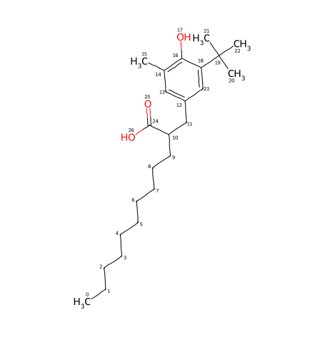 CCCCCCCCCCC(Cc1cc(C)c(O)c(C(C)(C)C)c1)C(=O)O